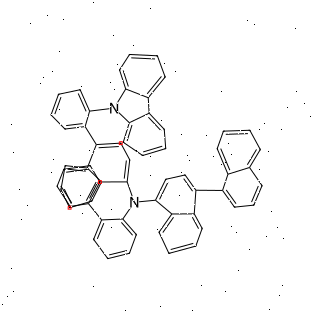 c1ccc(-c2ccccc2N(c2ccc(-c3ccccc3-n3c4ccccc4c4ccccc43)c3ccccc23)c2ccc(-c3cccc4ccccc34)c3ccccc23)cc1